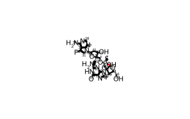 C#C[C@]1(COP(O)(=S)O[C@@]2(n3cnc4c(=O)[nH]c(N)nc43)CO[C@H](CO)[C@H]2F)O[C@@H](n2cc(F)c3c(N)ncnc32)C[C@@H]1O